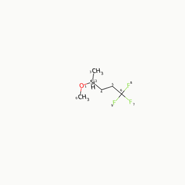 CO[SiH](C)CCC(F)(F)F